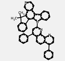 CC1(C)c2ccccc2-c2c1c1cnccc1c1c3ccccc3n(-c3cc(-c4ccccc4)c4ccc5c(-c6ccccc6)ccnc5c4n3)c21